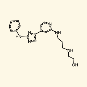 OCCNCCCNc1cc(-n2cnc(Nc3ccccc3)n2)ccn1